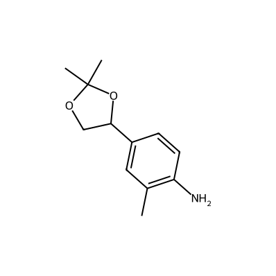 Cc1cc(C2COC(C)(C)O2)ccc1N